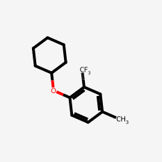 Cc1ccc(OC2CCCCC2)c(C(F)(F)F)c1